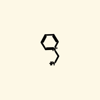 C[C](C)C[n+]1ccccc1